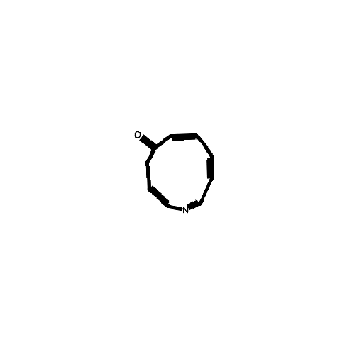 O=C1C=CC=CC=NC=CC1